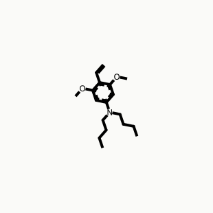 C=Cc1c(OC)cc(N(CCCC)CCCC)cc1OC